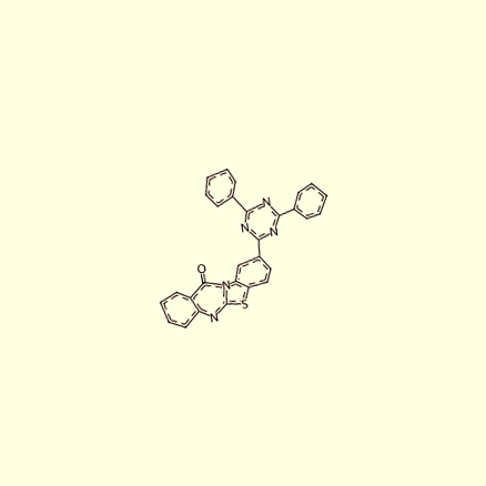 O=c1c2ccccc2nc2sc3ccc(-c4nc(-c5ccccc5)nc(-c5ccccc5)n4)cc3n12